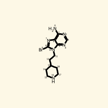 Nc1ncnc2c1nc(Br)n2CCC1CCNCC1